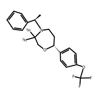 [2H]C1([2H])CO[C@@H](c2ccc(OC(F)(F)F)cc2)CCN1[C@H](C)c1ccccc1